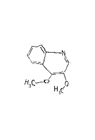 COc1[c]nc2ccccc2c1OC